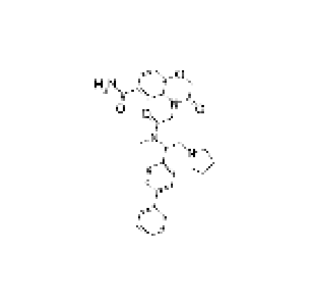 CN(C(=O)CN1C(=O)COc2ccc(C(N)=O)cc21)C(CN1CCCC1)c1ccc(-c2ccccc2)cc1